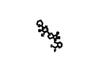 O=c1[nH]n(Cc2ccccc2C(F)F)c2c1CN(c1cnn(C3CCCCO3)c(=O)c1Cl)CC2